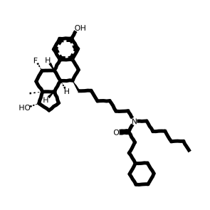 CCCCCCN(CCCCCC[C@@H]1Cc2cc(O)ccc2[C@@H]2[C@@H]1[C@@H]1CC[C@H](O)[C@@]1(C)C[C@@H]2F)C(=O)CCC1CCCCC1